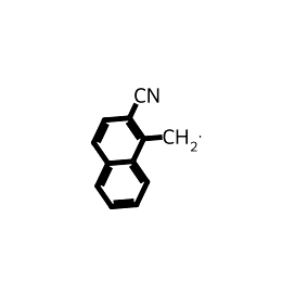 [CH2]c1c(C#N)ccc2ccccc12